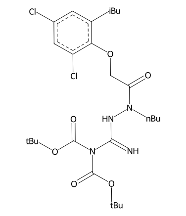 CCCCN(NC(=N)N(C(=O)OC(C)(C)C)C(=O)OC(C)(C)C)C(=O)COc1c(Cl)cc(Cl)cc1C(C)CC